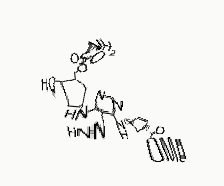 COC(=O)[C@H]1C=C[C@@H](Nc2ncnc(NC3CC(O)C(COS(N)(=O)=O)C3)c2N=N)C1